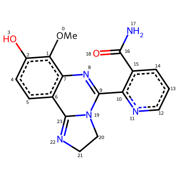 COc1c(O)ccc2c1N=C(c1ncccc1C(N)=O)N1CCN=C21